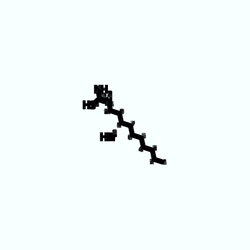 Br.CCCCCCCCCCN=C(N)S